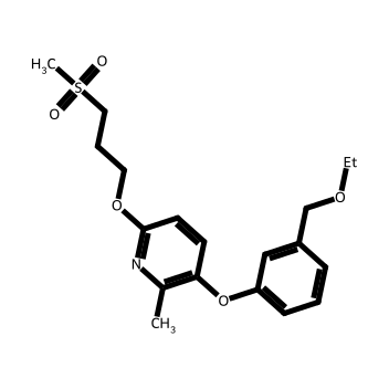 CCOCc1cccc(Oc2ccc(OCCCS(C)(=O)=O)nc2C)c1